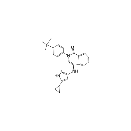 CC(C)(C)c1ccc(-n2nc(Nc3cc(C4CC4)[nH]n3)c3ccccc3c2=O)cc1